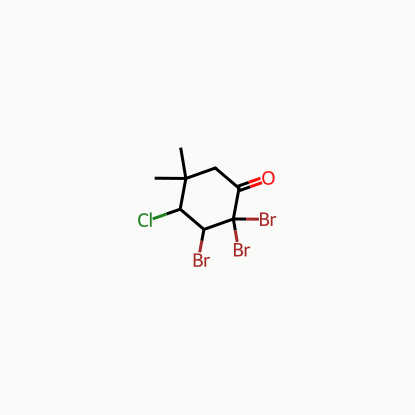 CC1(C)CC(=O)C(Br)(Br)C(Br)C1Cl